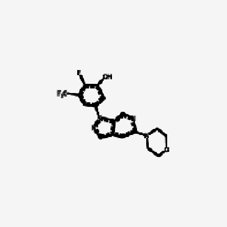 Oc1cc(-n2ncc3cc(N4CCOCC4)ncc32)cc(C(F)(F)F)c1F